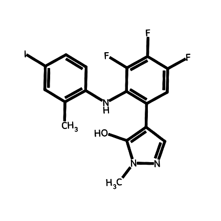 Cc1cc(I)ccc1Nc1c(-c2cnn(C)c2O)cc(F)c(F)c1F